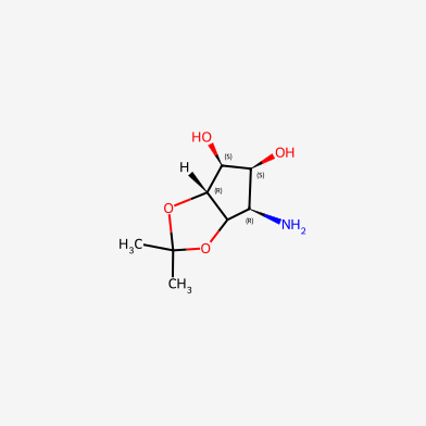 CC1(C)OC2[C@H](N)[C@H](O)[C@H](O)[C@H]2O1